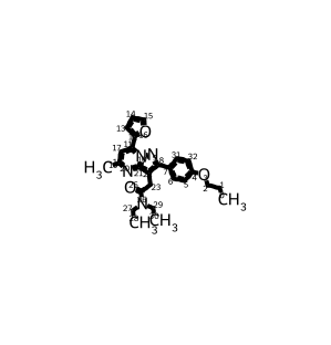 CCCOc1ccc(-c2nn3c(-c4ccco4)cc(C)nc3c2CC(=O)N(CC)CC)cc1